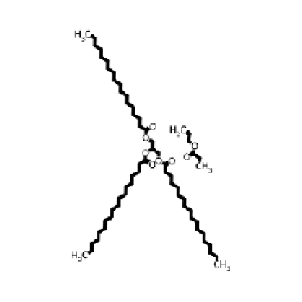 C=CCOC(=O)CC.CCCCCCCCCCCCCCCCCC(=O)OCC(COC(=O)CCCCCCCCCCCCCCCCC)OC(=O)CCCCCCCCCCCCCCCCC